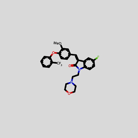 COc1cc(C=C2C(=O)N(CCN3CCOCC3)c3ccc(F)cc32)ccc1Oc1ccccc1C(F)(F)F